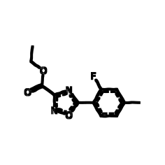 CCOC(=O)c1noc(-c2ccc(C)cc2F)n1